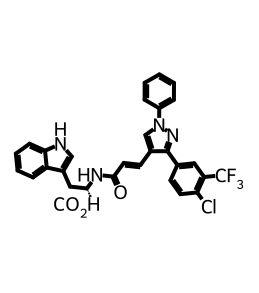 O=C(/C=C/c1cn(-c2ccccc2)nc1-c1ccc(Cl)c(C(F)(F)F)c1)N[C@@H](Cc1c[nH]c2ccccc12)C(=O)O